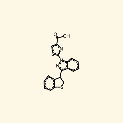 O=C(O)c1csc(-n2nc(C3CSc4ccccc43)c3ccccc32)n1